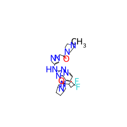 CN1CCN(C(=O)Cn2cc(Nc3nc4c(N5CC6CCC(C5)N6C(=O)C5CC(F)(F)C5)cccn4n3)cn2)CC1